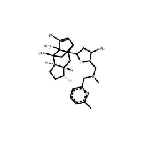 CCCCC1CC(C23C[C@@H]4[C@H](C)CC[C@H]4C4(C=O)CC2C=C(C(C)C)C34C(=O)O)OC1CN(C)Cc1cccc(C)n1